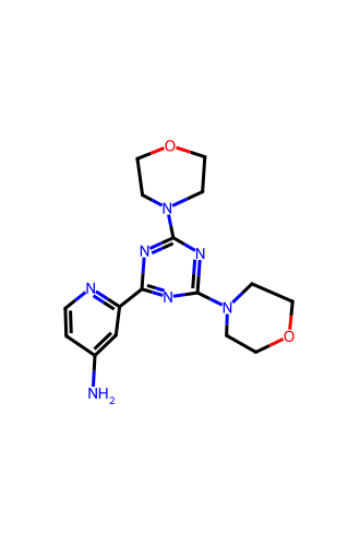 Nc1ccnc(-c2nc(N3CCOCC3)nc(N3CCOCC3)n2)c1